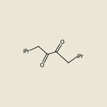 CC(C)CC(=O)C(=O)CC(C)C